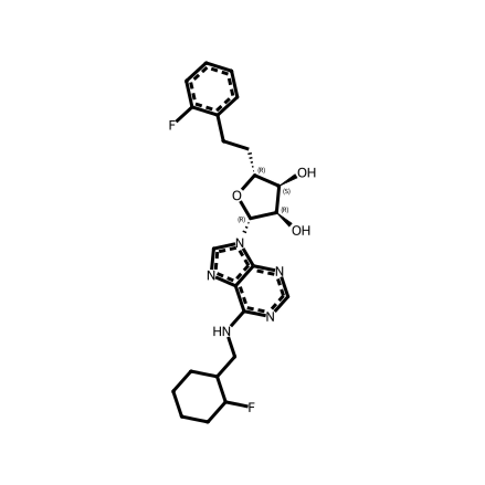 O[C@@H]1[C@H](O)[C@@H](CCc2ccccc2F)O[C@H]1n1cnc2c(NCC3CCCCC3F)ncnc21